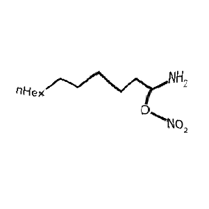 CCCCCCCCCCCC(N)O[N+](=O)[O-]